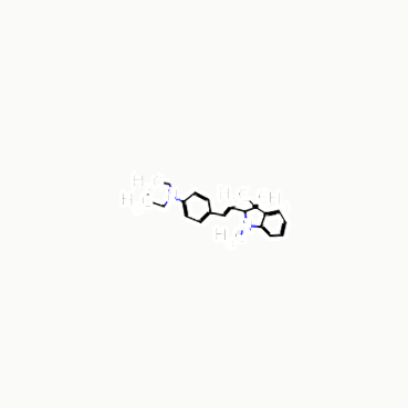 CCN(CC)c1ccc(/C=C/C2N(C)c3ccccc3C2(C)C)cc1